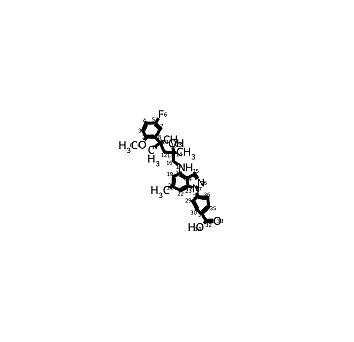 COc1ccc(F)cc1C(C)(C)CC(C)(O)CNc1cc(C)cc2c1cnn2-c1ccc(C(=O)O)cc1